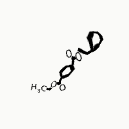 CCOC(=O)c1ccc(C(=O)OC=Cc2ccccc2)cc1